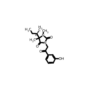 CC[C@@H](C)C1(C)C(=O)N(CC(=O)c2cccc(O)c2)C(=O)N1C